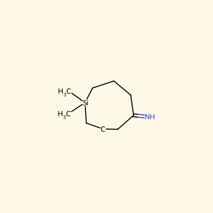 C[Si]1(C)CCCC(=N)CCC1